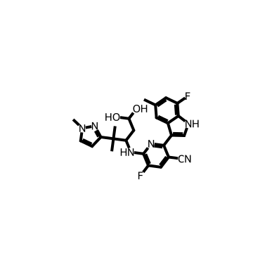 Cc1cc(F)c2[nH]cc(-c3nc(NC(CC(O)O)C(C)(C)c4ccn(C)n4)c(F)cc3C#N)c2c1